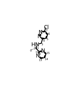 C[C@H](NCc1ccc(Cl)nn1)c1ncccn1